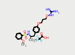 N=C(N)NOCCCOc1ccc(C[C@H](NS(=O)(=O)c2ccccc2OC(F)(F)F)C(=O)O)cc1.O=C(O)C(F)(F)F